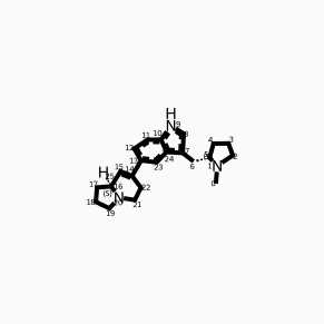 CN1CCC[C@H]1Cc1c[nH]c2ccc(C3=C[C@@H]4CCCN4CC3)cc12